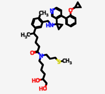 CSCCCN(CCCCC(O)CO)C(=O)CCCC(C)c1ccc(C)c(CNC2(c3cnccc3-c3ccccc3OC3CC3)CC2)c1